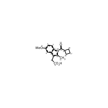 COc1ccc2c(c1)c(CC(=O)O)c(C)n2C(=O)C1CCC1